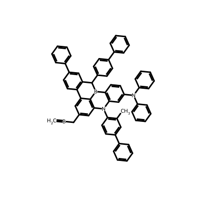 C=BCc1cc2c3c(c1)N(c1ccc(-c4ccccc4)cc1C)c1cc(N(c4ccccc4)c4ccccc4)ccc1B3C(c1ccc(-c3ccccc3)cc1)c1cc(-c3ccccc3)ccc1-2